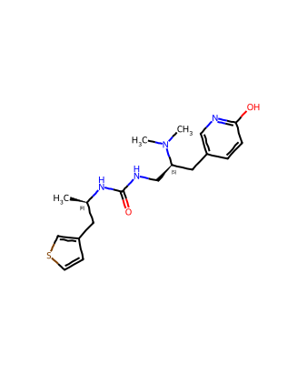 C[C@H](Cc1ccsc1)NC(=O)NC[C@H](Cc1ccc(O)nc1)N(C)C